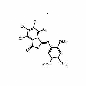 COc1cc(N=C2NC(=O)c3c(Cl)c(Cl)c(Cl)c(Cl)c32)c(OC)cc1N